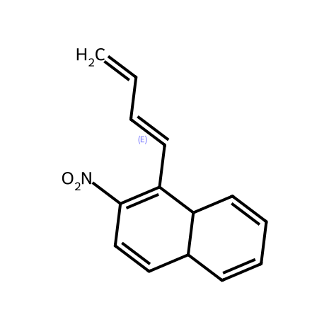 C=C/C=C/C1=C([N+](=O)[O-])C=CC2C=CC=CC12